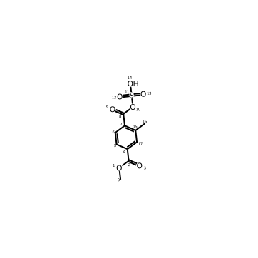 COC(=O)c1ccc(C(=O)OS(=O)(=O)O)c(C)c1